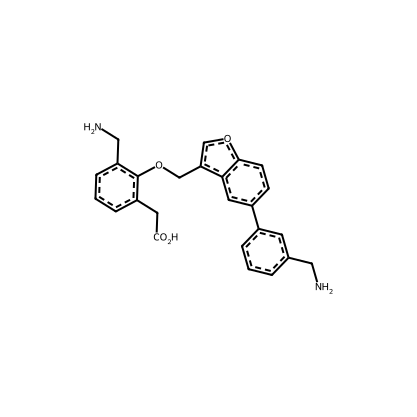 NCc1cccc(-c2ccc3occ(COc4c(CN)cccc4CC(=O)O)c3c2)c1